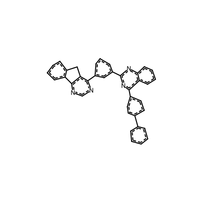 c1ccc(-c2ccc(-c3nc(-c4cccc(-c5ncnc6c5Cc5ccccc5-6)c4)nc4ccccc34)cc2)cc1